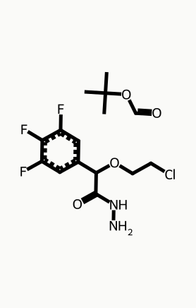 CC(C)(C)OC=O.NNC(=O)C(OCCCl)c1cc(F)c(F)c(F)c1